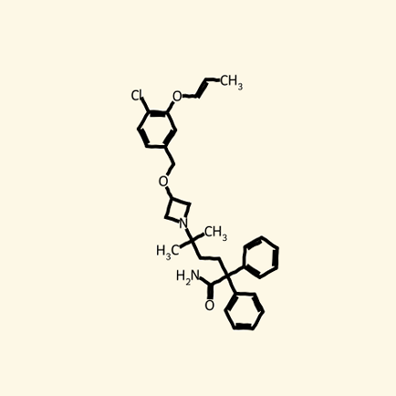 CC=COc1cc(COC2CN(C(C)(C)CCC(C(N)=O)(c3ccccc3)c3ccccc3)C2)ccc1Cl